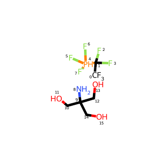 FC(F)(F)C(F)(F)[PH](F)(F)F.NC(CO)(CO)CO